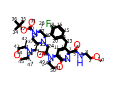 COCCNC(=O)c1nc2c(cc1Cc1ccc(F)cc1)N(C(=O)CN1C[C@@H](C)N(C(=O)OC(C)(C)C)C[C@@H]1CN1[C@H](C)COC[C@H]1C)[C@@H](C)CO2